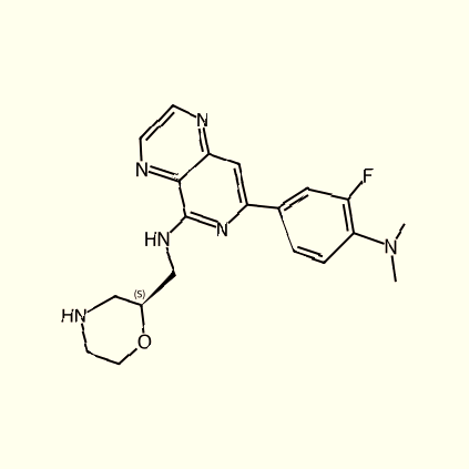 CN(C)c1ccc(-c2cc3nccnc3c(NC[C@@H]3CNCCO3)n2)cc1F